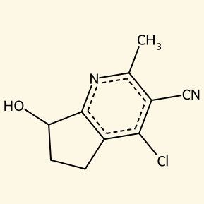 Cc1nc2c(c(Cl)c1C#N)CCC2O